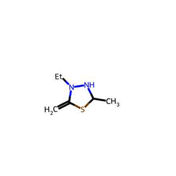 C=C1SC(C)NN1CC